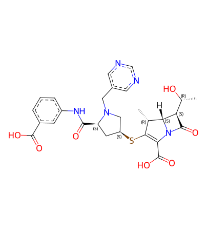 C[C@@H](O)[C@H]1C(=O)N2C(C(=O)O)=C(S[C@H]3C[C@@H](C(=O)Nc4cccc(C(=O)O)c4)N(Cc4cncnc4)C3)[C@H](C)[C@H]12